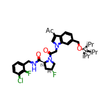 CC(=O)c1cn(CC(=O)N2C[C@H](F)C[C@H]2C(=O)NCc2cccc(Cl)c2F)c2cc(CO[Si](C(C)C)(C(C)C)C(C)C)ccc12